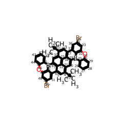 CC(C)(C)c1cc2c3c(cc4c(C(C)(C)C)cc5c6c(cc1c3c46)B1c3ccccc3Oc3cc(Br)cc-5c31)B1c3ccccc3Oc3cc(Br)cc-2c31